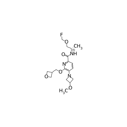 COC1CN(c2ccc(C(=O)N[C@@H](C)COCF)nc2OCC2COC2)C1